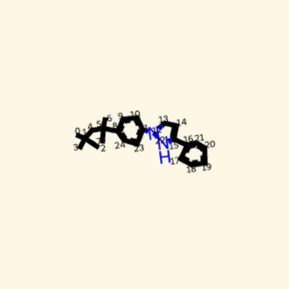 CC(C)(C)CC(C)(C)c1ccc(N2CC=C(c3ccccc3)N2)cc1